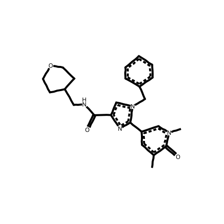 Cc1cc(-c2nc(C(=O)NCC3CCOCC3)cn2Cc2ccccc2)cn(C)c1=O